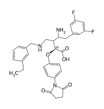 CCc1cccc(CNCC(C(N)Cc2cc(F)cc(F)c2)[C@H](Oc2ccc(N3C(=O)CCC3=O)cc2)C(=O)O)c1